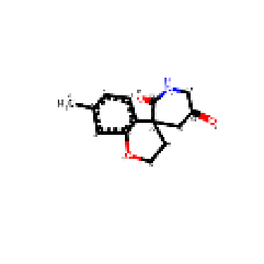 Cc1ccc2c(c1)OCCC21CC(=O)CNC1=O